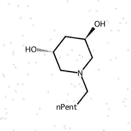 CCCCCCN1C[C@H](O)C[C@@H](O)C1